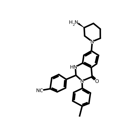 Cc1ccc(N2C(=O)c3ccc(N4CCC[C@H](N)C4)cc3NC2c2ccc(C#N)cc2)cc1